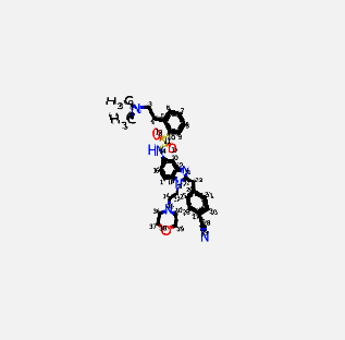 CN(C)CCc1ccccc1S(=O)(=O)Nc1ccc2c(c1)nc(Cc1ccc(C#N)cc1)n2CCN1CCOCC1